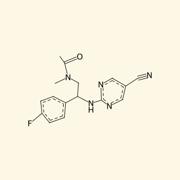 CC(=O)N(C)CC(Nc1ncc(C#N)cn1)c1ccc(F)cc1